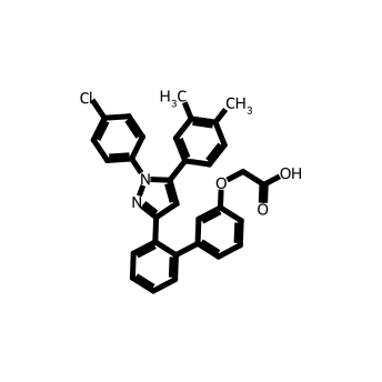 Cc1ccc(-c2cc(-c3ccccc3-c3cccc(OCC(=O)O)c3)nn2-c2ccc(Cl)cc2)cc1C